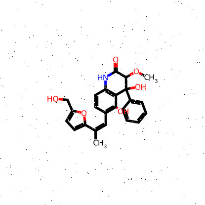 COC1C(=O)Nc2ccc(C=C(C)c3ccc(CO)o3)c(O)c2C1(O)c1ccccc1